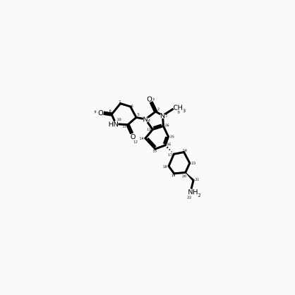 Cn1c(=O)n(C2CCC(=O)NC2=O)c2ccc([C@H]3CC[C@H](CN)CC3)cc21